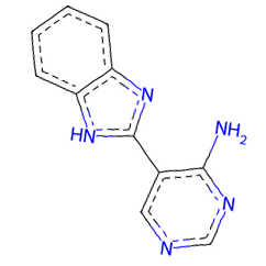 Nc1ncncc1-c1nc2ccccc2[nH]1